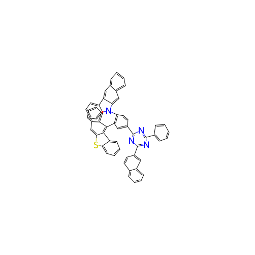 c1ccc(-c2nc(-c3ccc(-n4c5ccccc5c5cc6ccccc6cc54)c(-c4c5ccccc5cc5sc6ccccc6c45)c3)nc(-c3ccc4ccccc4c3)n2)cc1